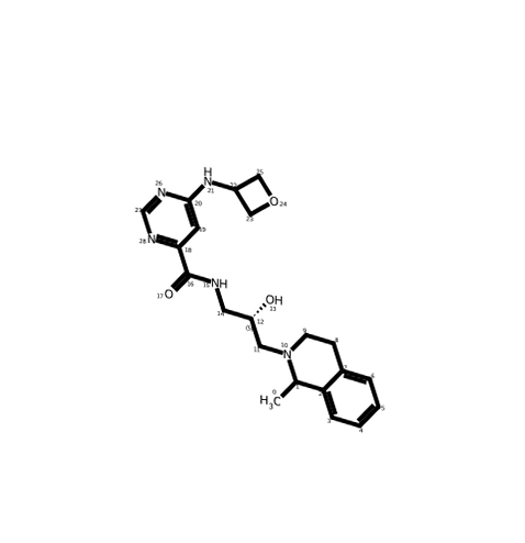 CC1c2ccccc2CCN1C[C@@H](O)CNC(=O)c1cc(NC2COC2)ncn1